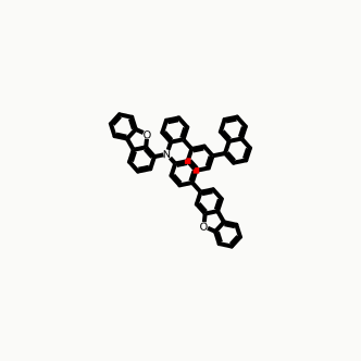 c1cc(-c2ccccc2N(c2ccc(-c3ccc4c(c3)oc3ccccc34)cc2)c2cccc3c2oc2ccccc23)cc(-c2cccc3ccccc23)c1